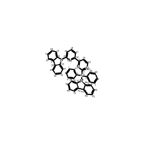 c1ccc(S(c2ccccc2)(c2nccc(-c3cccc(-n4c5ccccc5c5ccccc54)n3)n2)n2c3ccccc3c3ccccc32)cc1